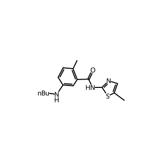 CCCCNc1ccc(C)c(C(=O)Nc2ncc(C)s2)c1